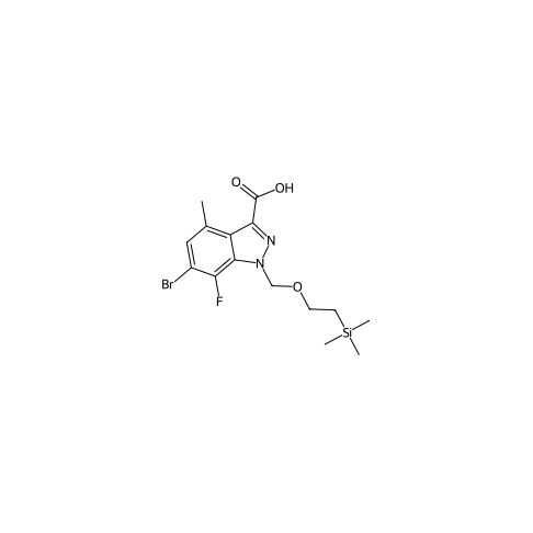 Cc1cc(Br)c(F)c2c1c(C(=O)O)nn2COCC[Si](C)(C)C